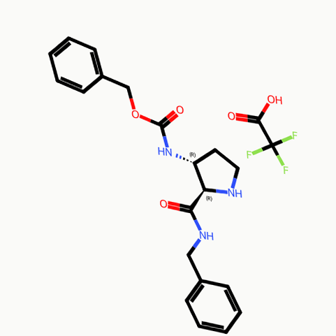 O=C(N[C@@H]1CCN[C@H]1C(=O)NCc1ccccc1)OCc1ccccc1.O=C(O)C(F)(F)F